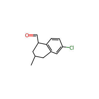 CC1Cc2cc(Cl)ccc2C(C=O)C1